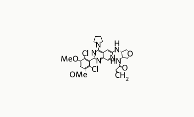 C=CC(=O)N[C@H]1COC[C@H]1Nc1cc2c(N3CCCC3)nc(-c3c(Cl)c(OC)cc(OC)c3Cl)nc2cn1